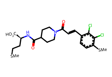 CSCC[C@H](NC(=O)C1CCN(C(=O)/C=C/c2ccc(SC)c(Cl)c2Cl)CC1)C(=O)O